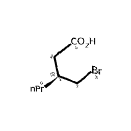 CCC[C@H](CBr)CC(=O)O